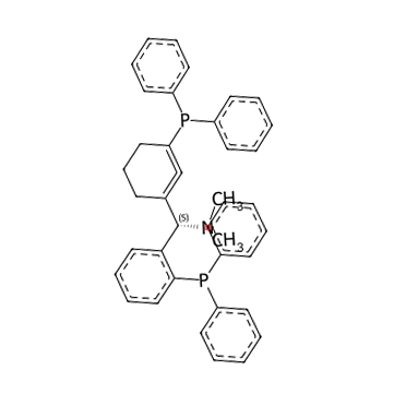 CN(C)[C@@H](C1=C=C(P(c2ccccc2)c2ccccc2)CCC1)c1ccccc1P(c1ccccc1)c1ccccc1